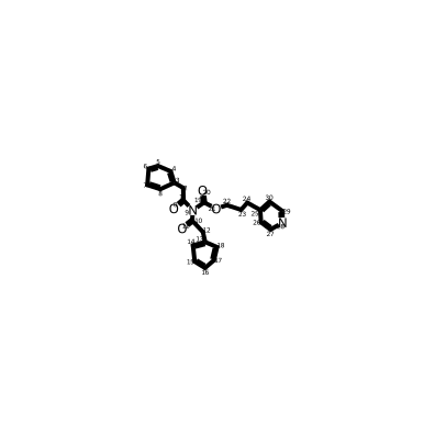 O=C(Cc1ccccc1)N(C(=O)Cc1ccccc1)C(=O)OCCCc1ccncc1